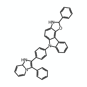 C1=CC2NC(c3ccc(-n4c5ccccc5c5c6c(ccc54)NC(c4ccccc4)O6)cc3)=C(c3ccccc3)N2C=C1